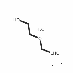 O.O=CCOCCO